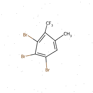 Cc1cc(Br)c(Br)c(Br)c1C(F)(F)F